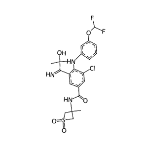 CC1(NC(=O)c2cc(Cl)c(Nc3cccc(OC(F)F)c3)c(C(=N)C(C)(C)O)c2)CS(=O)(=O)C1